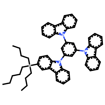 CCCCC[Si](CCCC)(CCCC)c1ccc2c(c1)c1ccccc1n2-c1cc(-n2c3ccccc3c3ccccc32)cc(-n2c3ccccc3c3ccccc32)c1